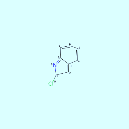 ClC1C=c2ccccc2=N1